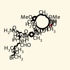 C=C(CBr)C(=O)OC(C)(C)CCCC(C=O)N[C@H](C(=O)N[C@@H](CCCNC(N)=O)C(=O)Nc1ccc(NC(=O)O[C@H]2CC(=O)N(C)c3cc(cc(OC)c3Cl)C/C(C)=C/C=C/[C@@H](OC)[C@@]3(O)C[C@H](OC(=O)N3)[C@@H](C)[C@@H]3O[C@@]23C)c(C)c1)C(C)C